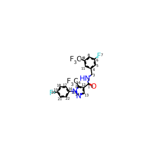 O=C(NCc1cc(F)cc(C(F)(F)F)c1)c1cnn(-c2ccc(F)cc2)c1C(F)(F)F